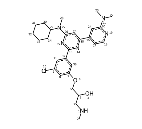 CNCC(O)COc1cc(Cl)cc(-c2nc(-c3ccnc(N(C)C)c3)cc(N(C)C3CCCCC3)n2)c1